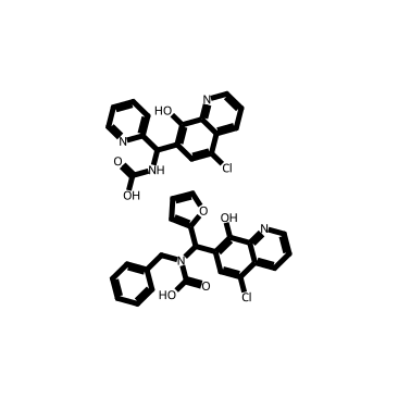 O=C(O)N(Cc1ccccc1)C(c1ccco1)c1cc(Cl)c2cccnc2c1O.O=C(O)NC(c1ccccn1)c1cc(Cl)c2cccnc2c1O